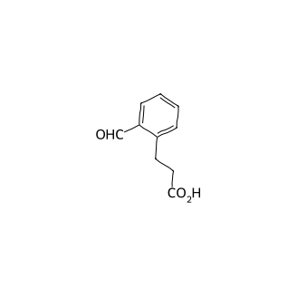 O=Cc1ccccc1CCC(=O)O